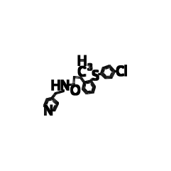 CC(CC(=O)NCCc1ccncc1)c1ccccc1Sc1ccc(Cl)cc1